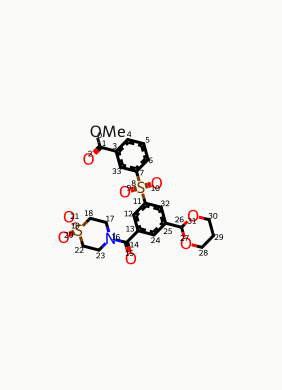 COC(=O)c1cccc(S(=O)(=O)c2cc(C(=O)N3CCS(=O)(=O)CC3)cc(C3OCCCO3)c2)c1